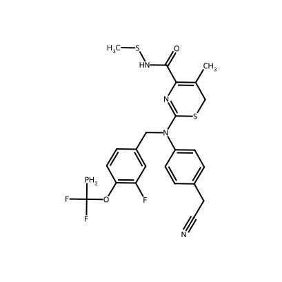 CSNC(=O)C1=C(C)CSC(N(Cc2ccc(OC(F)(F)P)c(F)c2)c2ccc(CC#N)cc2)=N1